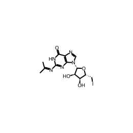 CC(C)=Nc1nc2c(ncn2[C@@H]2O[C@H](CI)[C@@H](O)[C@H]2O)c(=O)[nH]1